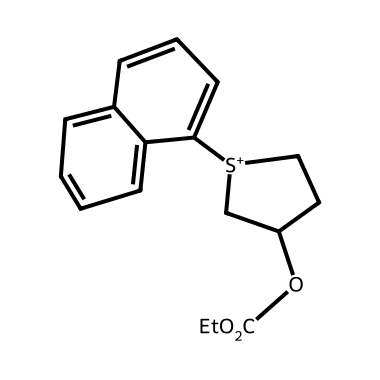 CCOC(=O)OC1CC[S+](c2cccc3ccccc23)C1